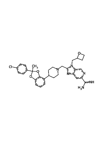 CC1(c2ccc(Cl)cc2)Oc2cccc(C3CCN(Cc4nc5cc(C(=N)N)ncc5n4CC4CCO4)CC3)c2O1